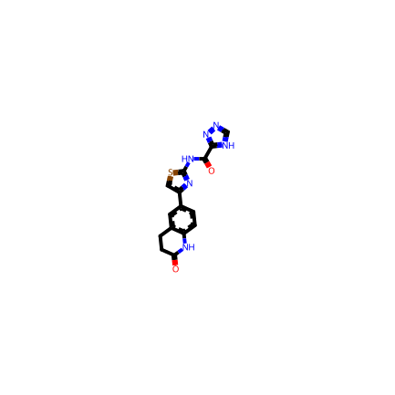 O=C1CCc2cc(-c3csc(NC(=O)c4nnc[nH]4)n3)ccc2N1